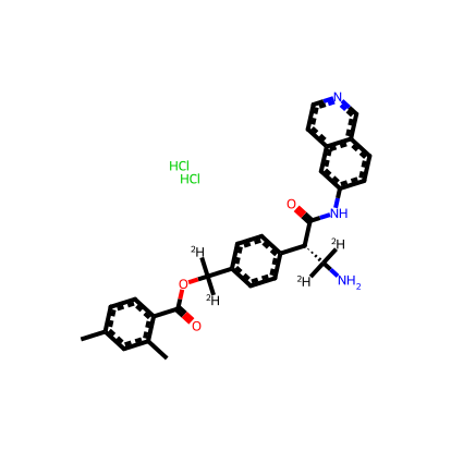 Cl.Cl.[2H]C([2H])(OC(=O)c1ccc(C)cc1C)c1ccc([C@H](C(=O)Nc2ccc3cnccc3c2)C([2H])([2H])N)cc1